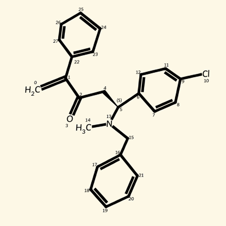 C=C(C(=O)C[C@@H](c1ccc(Cl)cc1)N(C)Cc1ccccc1)c1ccccc1